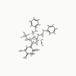 C[Si](C)(C)O[C@@H]1[C@H](n2cc(F)c(=O)[nH]c2=O)O[C@](CF)(COCc2ccccc2)[C@H]1OCc1ccccc1